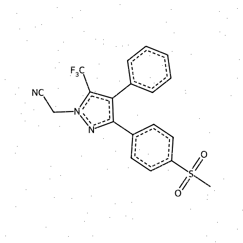 CS(=O)(=O)c1ccc(-c2nn(CC#N)c(C(F)(F)F)c2-c2ccccc2)cc1